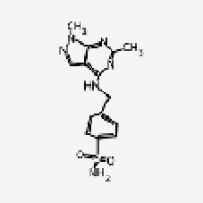 Cc1nc(NCc2ccc(S(N)(=O)=O)cc2)c2cnn(C)c2n1